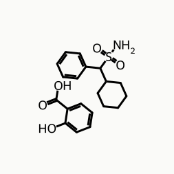 NS(=O)(=O)C(c1ccccc1)C1CCCCC1.O=C(O)c1ccccc1O